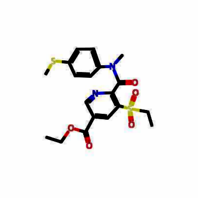 CCOC(=O)c1cnc(C(=O)N(C)c2ccc(SC)cc2)c(S(=O)(=O)CC)c1